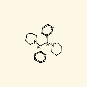 c1ccc([C@H]([C@H](c2ccccc2)N2CCCCC2)N2CCCCC2)cc1